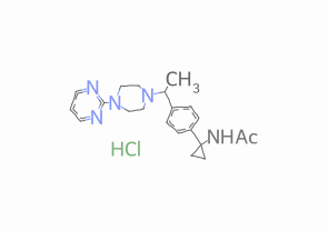 CC(=O)NC1(c2ccc(C(C)N3CCN(c4ncccn4)CC3)cc2)CC1.Cl